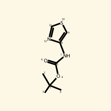 CC(C)(C)OC(=O)Nc1cs[c]n1